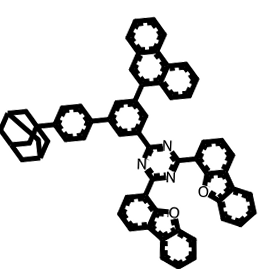 c1ccc2c(c1)cc(-c1cc(-c3ccc(C45CC6CC(CC(C6)C4)C5)cc3)cc(-c3nc(-c4cccc5c4oc4ccccc45)nc(-c4cccc5c4oc4ccccc45)n3)c1)c1ccccc12